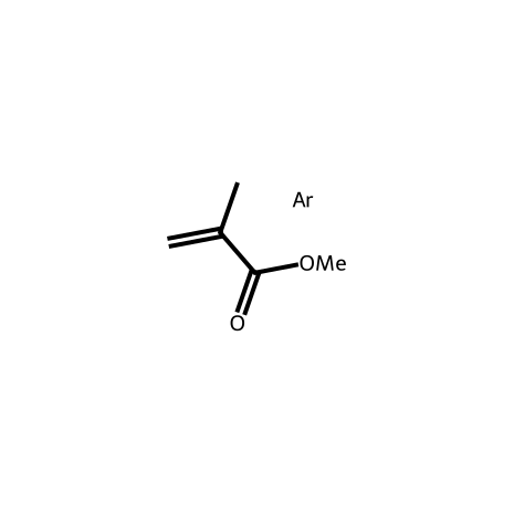 C=C(C)C(=O)OC.[Ar]